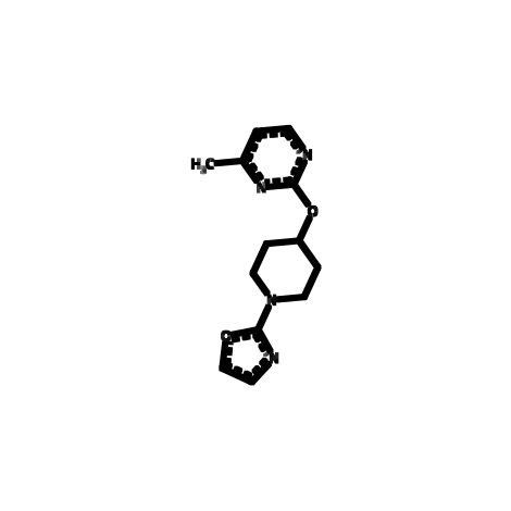 Cc1ccnc(OC2CCN(c3ncco3)CC2)n1